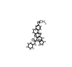 COc1ccc2c(c1)CCc1nc(NC(=O)CC3CCCCC3)c(CC3CCCC3)nc1-2